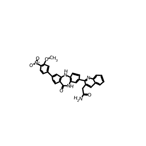 COc1cc(-c2ccc3c(c2)Nc2ccc(-c4nc5ccccc5cc4CC(N)=O)cc2NC3=O)ccc1[N+](=O)[O-]